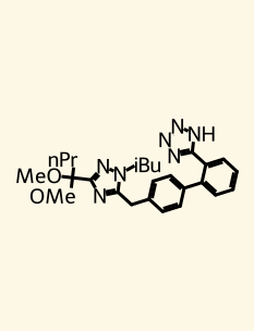 CCCC(OC)(OC)c1nc(Cc2ccc(-c3ccccc3-c3nnn[nH]3)cc2)n(C(C)CC)n1